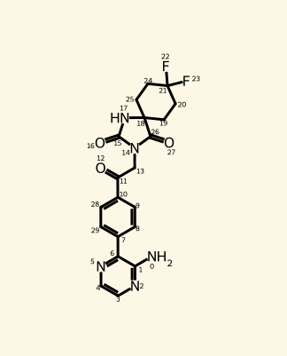 Nc1nccnc1-c1ccc(C(=O)CN2C(=O)NC3(CCC(F)(F)CC3)C2=O)cc1